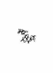 CC(=O)OC(N)[C@H]1O[C@@H](c2nc(C(N)=O)c[nH]2)[C@H](OC(C)=O)[C@@H]1OC(C)=O